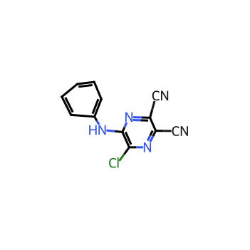 N#Cc1nc(Cl)c(Nc2ccccc2)nc1C#N